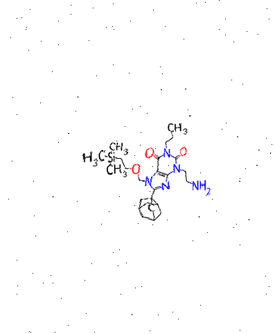 CCCn1c(=O)c2c(nc(C34CC5CC(CC3C5)C4)n2COCC[Si](C)(C)C)n(CCN)c1=O